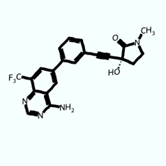 CN1CC[C@@](O)(C#Cc2cccc(-c3cc(C(F)(F)F)c4ncnc(N)c4c3)c2)C1=O